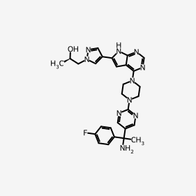 C[C@@H](O)Cn1cc(-c2cc3c(N4CCN(c5ncc(C(C)(N)c6ccc(F)cc6)cn5)CC4)ncnc3[nH]2)cn1